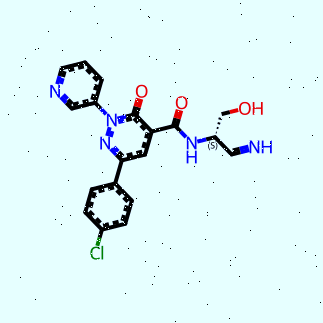 N=C[C@@H](CO)NC(=O)c1cc(-c2ccc(Cl)cc2)nn(-c2cccnc2)c1=O